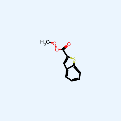 COOC(=O)c1cc2ccccc2s1